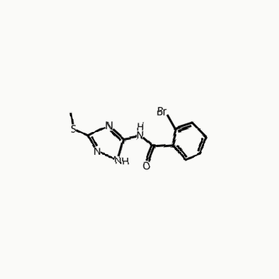 CSc1n[nH]c(NC(=O)c2ccccc2Br)n1